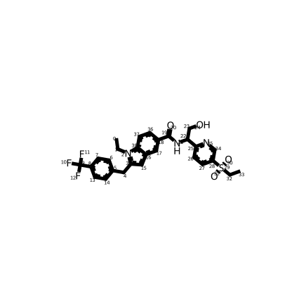 CCn1c(Cc2ccc(C(F)(F)F)cc2)cc2cc(C(=O)NC(CO)c3ccc(S(=O)(=O)CC)cn3)ccc21